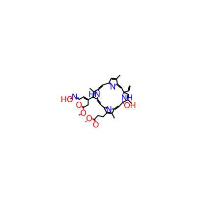 C=CC12C=C3N=C(C=C3C)C=c3[nH]c(c(C(=CC=NO)CC(=O)OC)c3C)=CC3=NC(=CC(O)(N1)C(C)=C2)C(C)=C3CCC(=O)OC